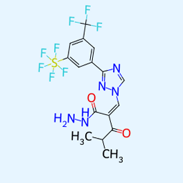 CC(C)C(=O)C(=Cn1cnc(-c2cc(C(F)(F)F)cc(S(F)(F)(F)(F)F)c2)n1)C(=O)NN